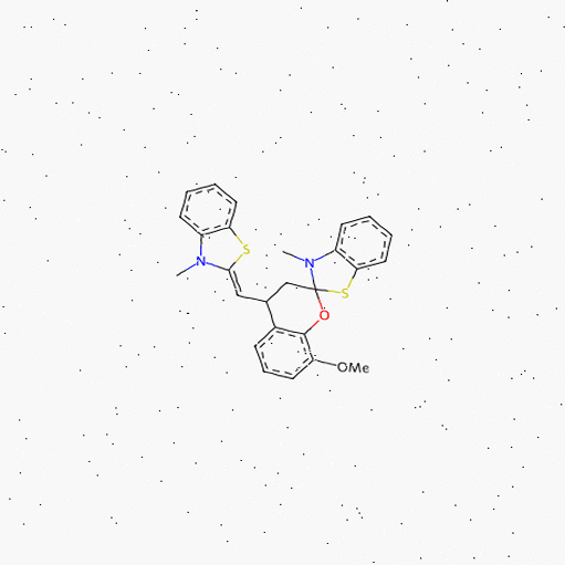 COc1cccc2c1OC1(CC2C=C2Sc3ccccc3N2C)Sc2ccccc2N1C